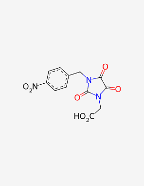 O=C(O)CN1C(=O)C(=O)N(Cc2ccc([N+](=O)[O-])cc2)C1=O